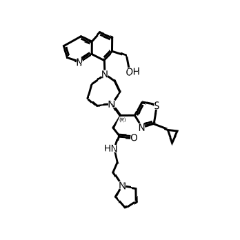 O=C(C[C@H](c1csc(C2CC2)n1)N1CCCN(c2c(CO)ccc3cccnc23)CC1)NCCN1CCCC1